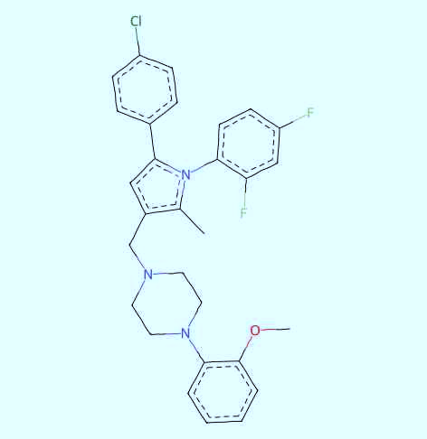 COc1ccccc1N1CCN(Cc2cc(-c3ccc(Cl)cc3)n(-c3ccc(F)cc3F)c2C)CC1